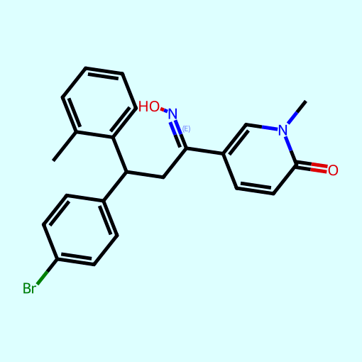 Cc1ccccc1C(C/C(=N\O)c1ccc(=O)n(C)c1)c1ccc(Br)cc1